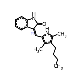 CCCCc1c(C)[nH]c(/C=C2\C(=O)Nc3ccccc32)c1C